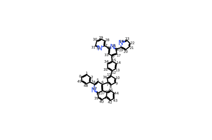 c1ccc(-c2cc(-c3cccc(-c4ccc(-c5cc(-c6ccccn6)nc(-c6ccccn6)c5)cc4)c3)c3c(ccc4ccccc43)n2)cc1